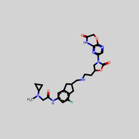 CN(CC(=O)Nc1cc(F)c2c(c1)CC(CNCCC1CN(c3cnc4c(n3)NC(=O)CO4)C(=O)O1)C2)C1CC1